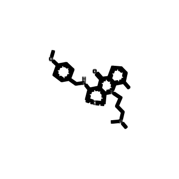 COc1ccc(CNc2cccc3c2c(=O)c2cccc(C)c2n3CCCN(C)C)cc1